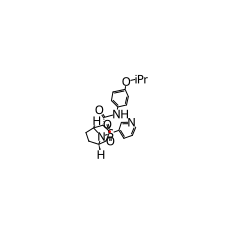 CC(C)Oc1ccc(NC(=O)[C@@H]2CC[C@@H]3CC[C@H]2N3S(=O)(=O)c2cccnc2)cc1